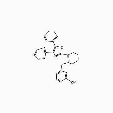 Oc1cccc(CC2=C(c3nc(-c4ccccc4)c(-c4ccccc4)o3)CCCC2)c1